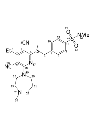 CCc1c(C#N)c(SCc2ccc(S(=O)(=O)NC)cc2)nc(N2CCCN(C)CC2)c1C#N